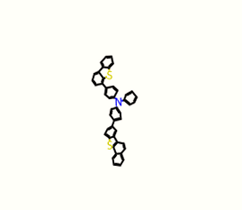 c1ccc(N(c2ccc(-c3ccc4sc5c6ccccc6ccc5c4c3)cc2)c2ccc(-c3cccc4c3sc3ccccc34)cc2)cc1